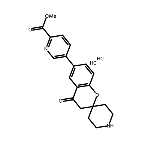 COC(=O)c1ccc(-c2ccc3c(c2)C(=O)CC2(CCNCC2)O3)cn1.Cl.Cl